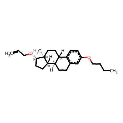 C=CCO[C@H]1CC[C@H]2[C@@H]3CCc4cc(OCCCC)ccc4[C@H]3CC[C@]12C